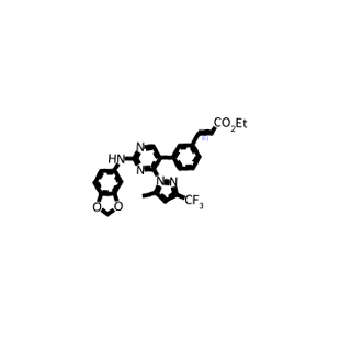 CCOC(=O)/C=C/c1cccc(-c2cnc(Nc3ccc4c(c3)OCO4)nc2-n2nc(C(F)(F)F)cc2C)c1